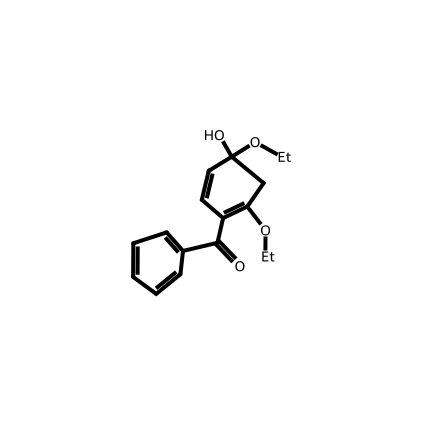 CCOC1=C(C(=O)c2ccccc2)C=CC(O)(OCC)C1